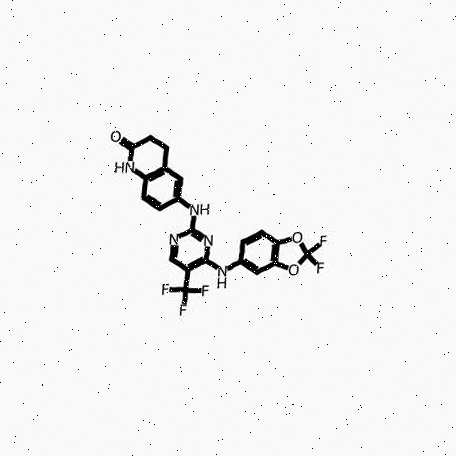 O=C1CCc2cc(Nc3ncc(C(F)(F)F)c(Nc4ccc5c(c4)OC(F)(F)O5)n3)ccc2N1